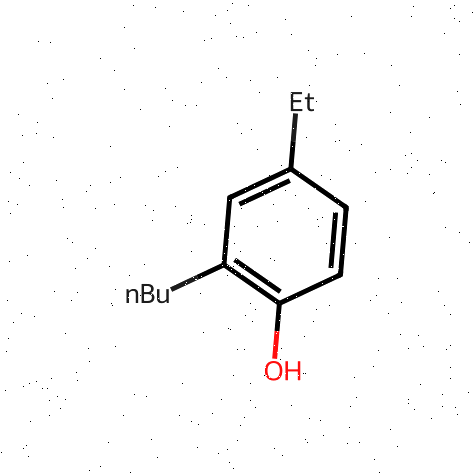 CCCCc1cc(CC)ccc1O